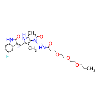 CCCOCCOCCOCCC(=O)NCCN(C=O)c1c(C)[nH]c(/C=C2\C(=O)Nc3ccc(F)cc32)c1C